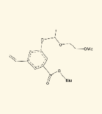 C=Cc1cc(OC(C)OCCOC)cc(C(=O)OC(C)(C)C)c1